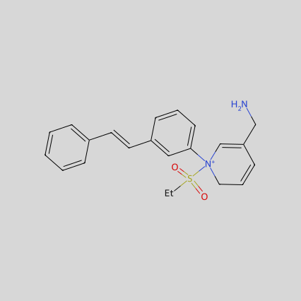 CCS(=O)(=O)[N+]1(c2cccc(C=Cc3ccccc3)c2)C=C(CN)C=CC1